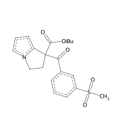 CC(C)COC(=O)C1(C(=O)c2cccc(S(C)(=O)=O)c2)CCn2cccc21